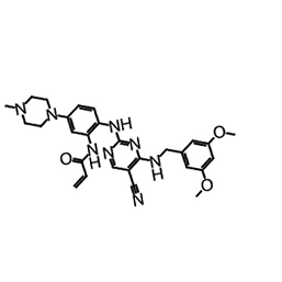 C=CC(=O)Nc1cc(N2CCN(C)CC2)ccc1Nc1ncc(C#N)c(NCc2cc(OC)cc(OC)c2)n1